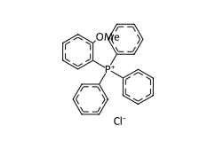 COc1ccccc1[P+](c1ccccc1)(c1ccccc1)c1ccccc1.[Cl-]